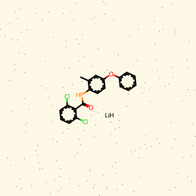 Cc1cc(Oc2ccccc2)ccc1PC(=O)c1c(Cl)cccc1Cl.[LiH]